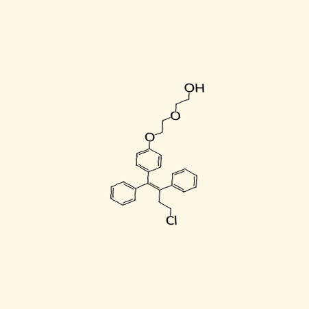 OCCOCCOc1ccc(C(=C(CCCl)c2ccccc2)c2ccccc2)cc1